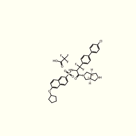 O=C(C(NS(=O)(=O)c1ccc2cc(OC3CCCC3)ccc2c1)C(F)(F)c1ccc(-c2ccc(Cl)cc2)cc1)N1C[C@H]2CNC[C@H]2C1.O=C(O)C(F)(F)F